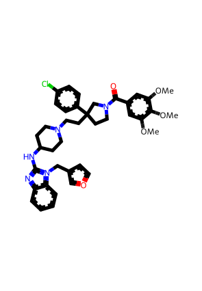 COc1cc(C(=O)N2CCC(CCN3CCC(Nc4nc5ccccc5n4Cc4ccoc4)CC3)(c3ccc(Cl)cc3)C2)cc(OC)c1OC